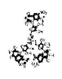 CN(C)c1cc2c(cc1[N+](=O)[O-])c(=O)[nH]c(=O)n2[C@@H]1O[C@H](COP(=O)(OC[C@H]2O[C@@H](n3c(=O)[nH]c(=O)c4cc([N+](=O)[O-])c(N(C)C)cc43)[C@H](O)[C@@H]2O)OC[C@H]2O[C@@H](n3c(=O)[nH]c(=O)c4cc([N+](=O)[O-])c(N(C)C)cc43)[C@H](O)[C@@H]2O)[C@@H](O)[C@H]1O